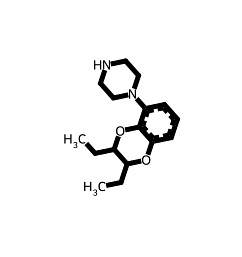 CCC1Oc2cccc(N3CCNCC3)c2OC1CC